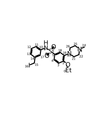 CCOc1ccc(S(=O)(=O)Nc2cccc(CI)c2)cc1N1CCN(C)CC1